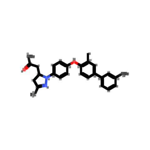 COC(=O)CC1CC(C(F)(F)F)=NN1c1ccc(Oc2ccc(-c3cccc(OC)c3)cc2C)cc1